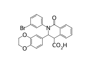 O=C(O)C1c2ccccc2C(=O)N(c2cccc(Br)c2)C1c1ccc2c(c1)OCCO2